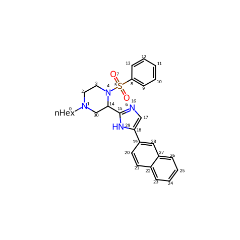 CCCCCCN1CCN(S(=O)(=O)c2ccccc2)C(c2ncc(-c3ccc4ccccc4c3)[nH]2)C1